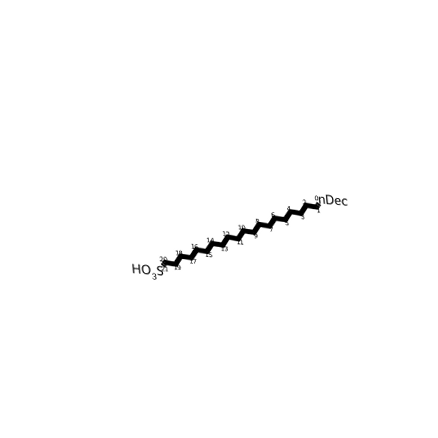 CCCCCCCCCCCCCCCCCCCCCCCCCCCCCCS(=O)(=O)O